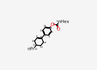 CCCCCCC(=O)Oc1ccc(C2=CCC(CCC)CC2)cc1